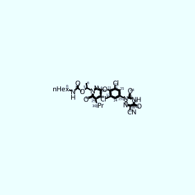 CCCCCCNC(=O)OC(C)n1nc(Oc2c(Cl)cc(-n3nc(C#N)c(=O)[nH]c3=O)cc2Cl)cc(C(C)C)c1=O